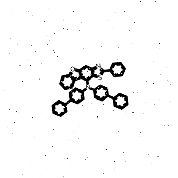 c1ccc(-c2ccc(N(c3ccc(-c4ccccc4)cc3)c3c4sc(-c5ccccc5)nc4cc4oc5ccccc5c34)cc2)cc1